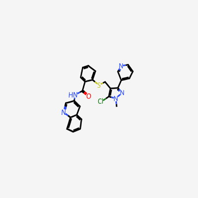 Cn1nc(-c2cccnc2)c(CSc2ccccc2C(=O)Nc2cnc3ccccc3c2)c1Cl